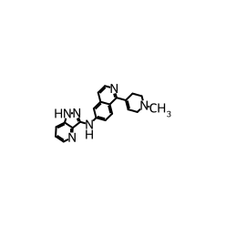 CN1CC=C(c2nccc3cc(Nc4n[nH]c5cccnc45)ccc23)CC1